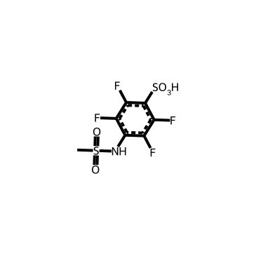 CS(=O)(=O)Nc1c(F)c(F)c(S(=O)(=O)O)c(F)c1F